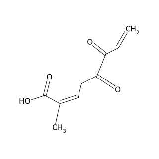 C=CC(=O)C(=O)CC=C(C)C(=O)O